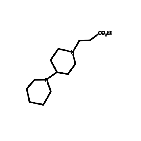 CCOC(=O)CCN1CCC(N2CCCCC2)CC1